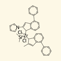 CC1=Cc2c(-c3ccccc3)cccc2[CH]1[Zr]([Cl])([Cl])([CH]1C(n2cccc2)=Cc2c(-c3ccccc3)cccc21)=[Si](C)C